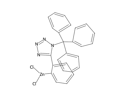 [Cl][Zn]([Cl])[c]1ccccc1-c1nnnn1C(c1ccccc1)(c1ccccc1)c1ccccc1